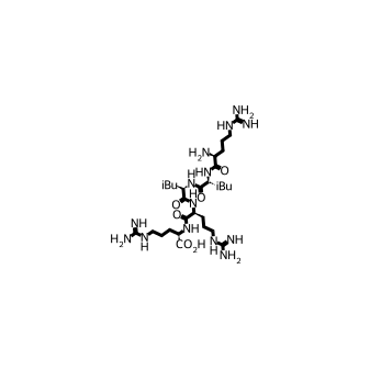 CC[C@H](C)[C@H](NC(=O)[C@@H](NC(=O)[C@@H](N)CCCNC(=N)N)[C@@H](C)CC)C(=O)N[C@@H](CCCNC(=N)N)C(=O)N[C@@H](CCCNC(=N)N)C(=O)O